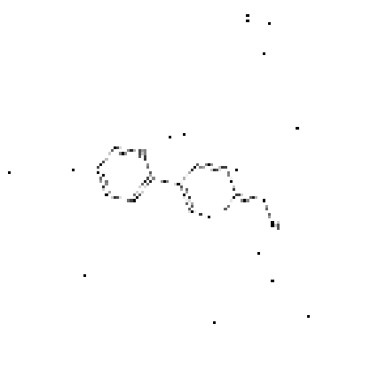 C\C=C(/C=C\C(C)=C\CC)c1ccccn1